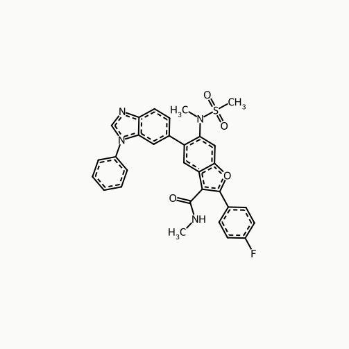 CNC(=O)c1c(-c2ccc(F)cc2)oc2cc(N(C)S(C)(=O)=O)c(-c3ccc4ncn(-c5ccccc5)c4c3)cc12